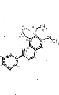 COc1cc(/C=C\C(=O)c2ccccc2)cc(OC)c1OC